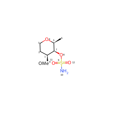 CO[C@H]1CCO[C@@H](C)[C@H]1OS(N)(=O)=O